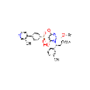 COC[C@@H](c1cccc(C#N)c1)n1c(COC(C)C)nc(=O)c(S(=O)(=O)C2C=CC(c3ccncc3C#N)=CC2)c1O